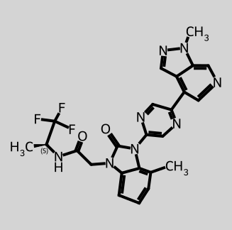 Cc1cccc2c1n(-c1cnc(-c3cncc4c3cnn4C)cn1)c(=O)n2CC(=O)N[C@@H](C)C(F)(F)F